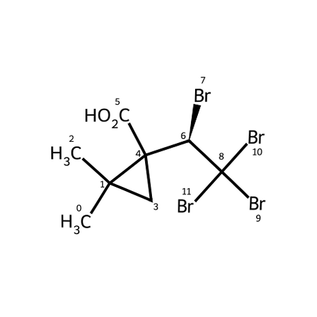 CC1(C)CC1(C(=O)O)[C@@H](Br)C(Br)(Br)Br